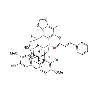 COc1cc2c(cc1O)CCN[C@]21CS[C@@H]2c3c(OC(=O)/C=C/c4ccccc4)c(C)c4c(c3[C@H](COC1=O)N1[C@@H]2[C@@H]2N[C@H](Cc3cc(C)c(OC)c(O)c32)[C@@H]1C#N)OCO4